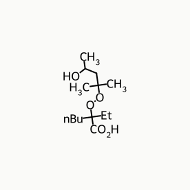 CCCCC(CC)(OOC(C)(C)CC(C)O)C(=O)O